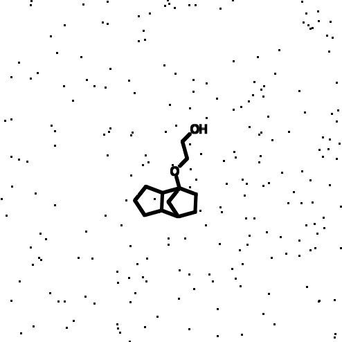 OCCOC12CCC(C1)C1CCCC12